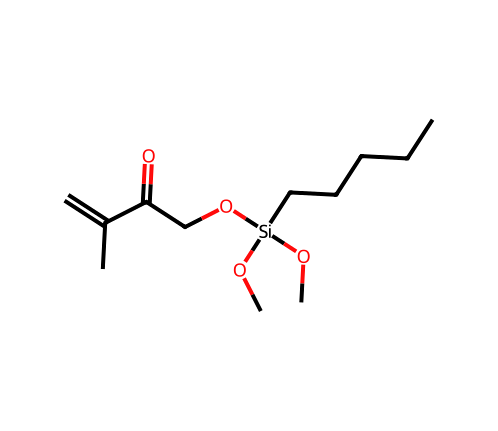 C=C(C)C(=O)CO[Si](CCCCC)(OC)OC